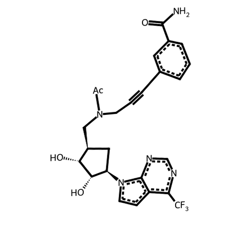 CC(=O)N(CC#Cc1cccc(C(N)=O)c1)C[C@H]1C[C@@H](n2ccc3c(C(F)(F)F)ncnc32)[C@H](O)[C@@H]1O